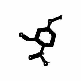 O=Cc1cc(OI)ccc1[N+](=O)[O-]